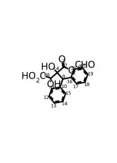 O=COC(=O)C(O)(C(O)C(=O)O)C(c1ccccc1)c1ccccc1